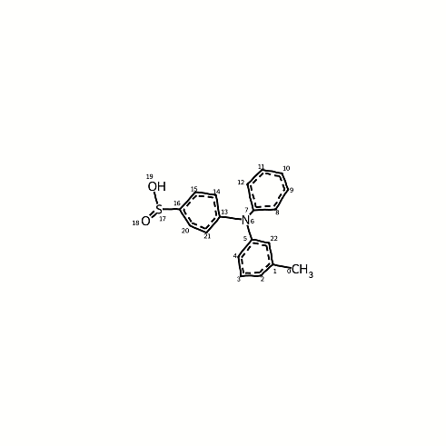 Cc1cccc(N(c2ccccc2)c2ccc(S(=O)O)cc2)c1